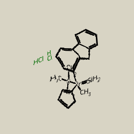 C[Si](C)(C)[Zr]([CH3])(=[SiH2])([C]1=CC=CC1)[c]1cccc2c1Cc1ccccc1-2.Cl.Cl